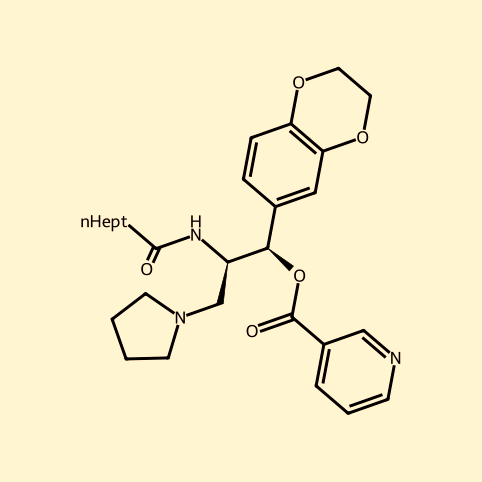 CCCCCCCC(=O)N[C@H](CN1CCCC1)[C@H](OC(=O)c1cccnc1)c1ccc2c(c1)OCCO2